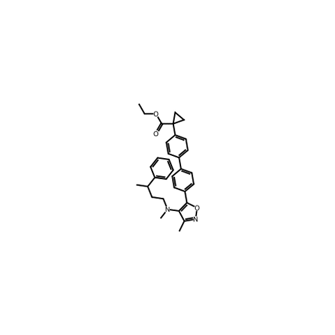 CCOC(=O)C1(c2ccc(-c3ccc(-c4onc(C)c4N(C)CCC(C)c4ccccc4)cc3)cc2)CC1